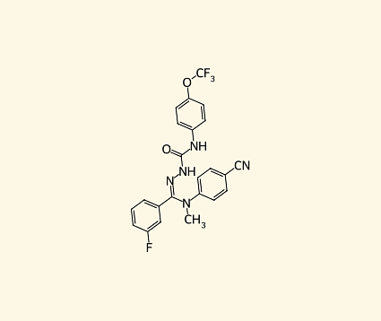 CN(C(=NNC(=O)Nc1ccc(OC(F)(F)F)cc1)c1cccc(F)c1)c1ccc(C#N)cc1